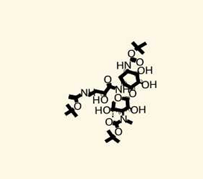 C=C(NCC[C@H](O)C(=O)N[C@@H]1C[C@H](NC(=O)OC(C)(C)C)[C@@H](O)[C@H](O)[C@H]1O[C@H]1OC[C@](C)(O)[C@H](N(C)C(=O)OC(C)(C)C)[C@H]1O)OC(C)(C)C